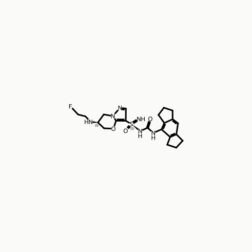 N=[S@@](=O)(NC(=O)Nc1c2c(cc3c1CCC3)CCC2)c1cnn2c1OC[C@@H](NCCF)C2